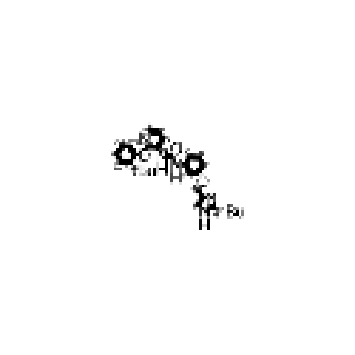 CCCCc1nc(COc2cccc(NC(=O)Nc3cccnc3Oc3ccccc3C(C)(C)C)c2)c[nH]1